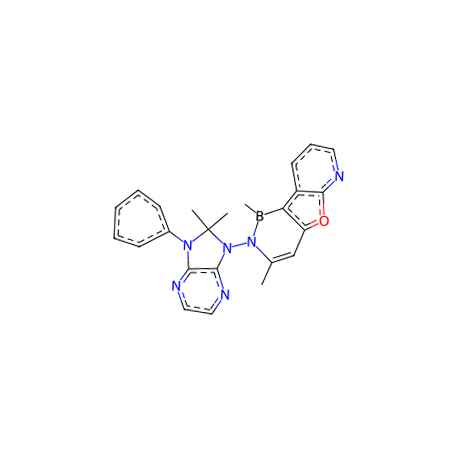 CB1c2c(oc3ncccc23)C=C(C)N1N1c2nccnc2N(c2ccccc2)C1(C)C